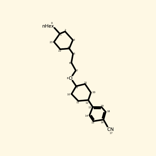 CCCCCCC1CCC(CCCOC2CCC(c3ccc(C#N)cc3)CC2)CC1